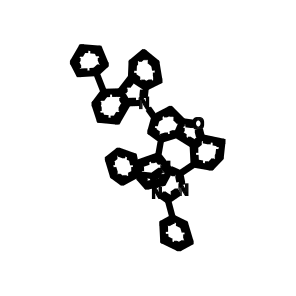 c1ccc(-c2nc(-c3ccccc3)nc(-c3cccc4oc5cc(-n6c7ccccc7c7c(-c8ccccc8)cccc76)cc(-c6ccccc6)c5c34)n2)cc1